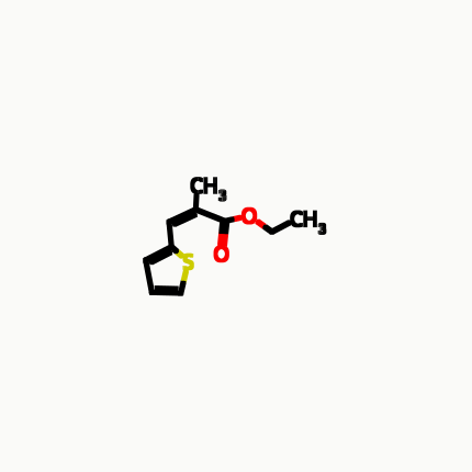 CCOC(=O)C(C)=Cc1cccs1